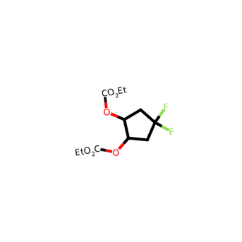 CCOC(=O)OC1CC(F)(F)CC1OC(=O)OCC